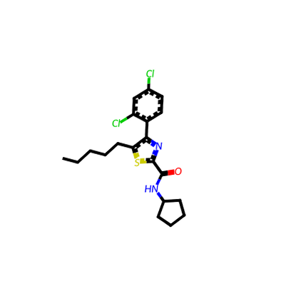 CCCCCc1sc(C(=O)NC2CCCC2)nc1-c1ccc(Cl)cc1Cl